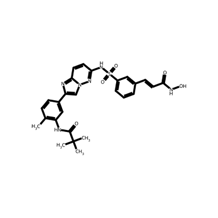 Cc1ccc(-c2cn3nc(NS(=O)(=O)c4cccc(C=CC(=O)NO)c4)ccc3n2)cc1NC(=O)C(C)(C)C